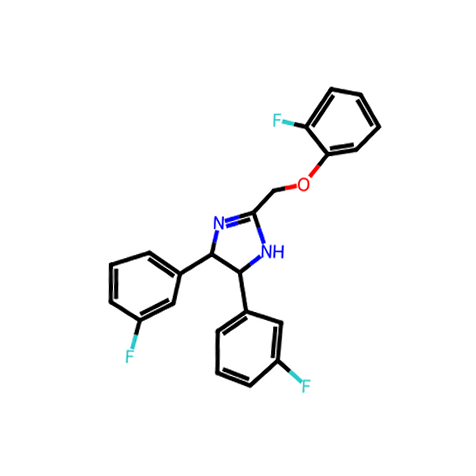 Fc1cccc(C2N=C(COc3ccccc3F)NC2c2cccc(F)c2)c1